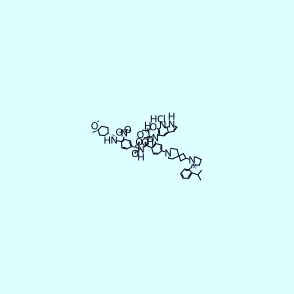 CO[C@]1(C)CC[C@H](CNc2ccc(S(=O)(=O)NC(=O)c3ccc(N4CCC5(CC4)CC(N4CCC[C@H]4c4ccccc4C(C)C)C5)cc3N3c4cc5cc[nH]c5nc4O[C@@H]4COC[C@H]43)cc2[N+](=O)[O-])CC1.Cl